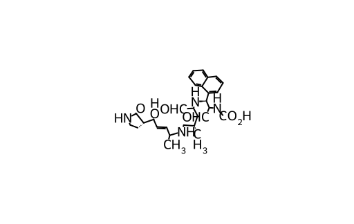 CC(/C=C/[C@H](O)[C@@H]1CCNC1=O)NC[C@@H](C)CC(C=O)N[C@@H](c1cccc2ccccc12)C(C=O)NC(=O)O